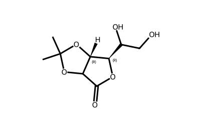 CC1(C)OC2C(=O)O[C@H](C(O)CO)[C@H]2O1